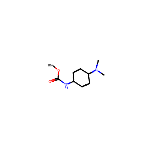 CN(C)C1CCC(NC(=O)OC(C)(C)C)CC1